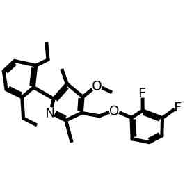 CCc1cccc(CC)c1-c1nc(C)c(COc2cccc(F)c2F)c(OC)c1C